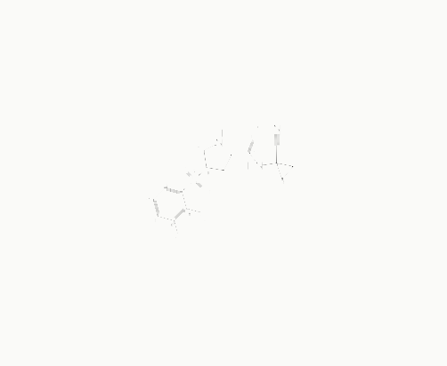 N#CC1(NC(=O)[C@@H]2C[C@@H](S(=O)(=O)c3cccc(Cl)c3Cl)CN2)CC1